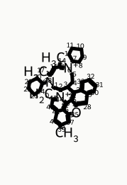 C=C1C2C(CC/[N+](C3CCCCC3)=C(C)\C=C(\C)N1C1CCCCC1)c1c3c(cc4ccccc14)Oc1cc(C)cc4cc[n+]2c-3c14